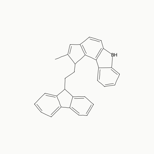 CC1=Cc2ccc3c(c2C1CCC1c2ccccc2-c2ccccc21)-c1ccccc1B3